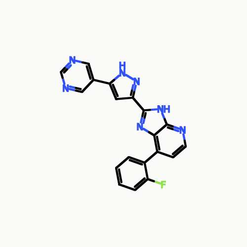 Fc1ccccc1-c1ccnc2[nH]c(-c3cc(-c4cncnc4)[nH]n3)nc12